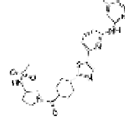 Cc1ccnc(Nc2cccc(-c3cnc([C@H]4CC[C@H](C(=O)N5CCC(NS(C)(=O)=O)C5)CC4)s3)n2)c1